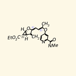 C=C1/C(=C\C=C(/C)Oc2ccnc(C(=O)NC)c2)O[C@H]2[C@@H]1[C@@H]2C(=O)OCC